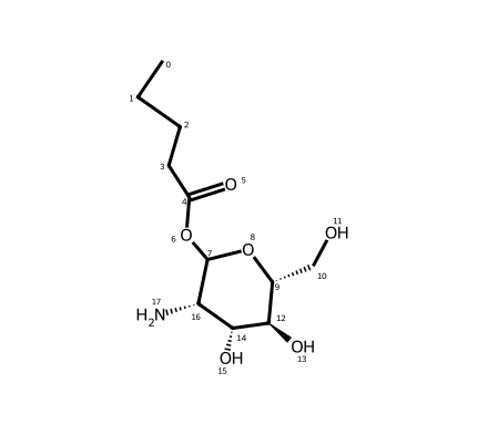 CCCCC(=O)OC1O[C@H](CO)[C@@H](O)[C@H](O)[C@@H]1N